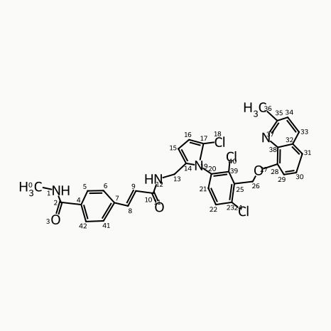 CNC(=O)c1ccc(/C=C/C(=O)NCc2ccc(Cl)n2-c2ccc(Cl)c(COc3cccc4ccc(C)nc34)c2Cl)cc1